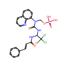 O=C(/C=C/c1ccccc1)NC(NC(=S)N(COP(=O)(O)O)c1cccc2cccnc12)C(Cl)(Cl)Cl